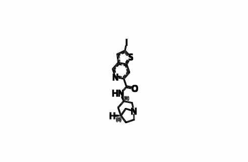 O=C(N[C@@H]1C[C@H]2CCN(C2)C1)c1cc2sc(I)cc2cn1